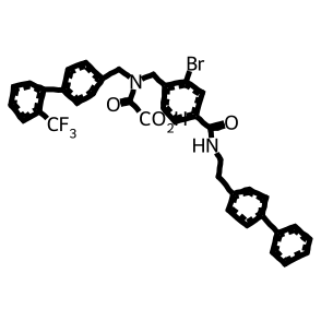 O=C(O)C(=O)N(Cc1ccc(-c2ccccc2C(F)(F)F)cc1)Cc1ccc(C(=O)NCCc2ccc(-c3ccccc3)cc2)cc1Br